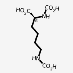 O=C(O)NCCCC[C@H](NC(=O)O)C(=O)O